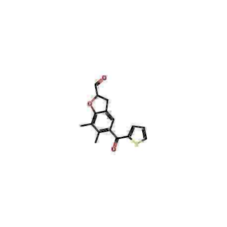 Cc1c(C(=O)c2cccs2)cc2c(c1C)OC(C=O)C2